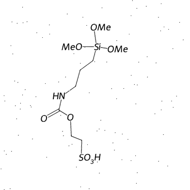 CO[Si](CCCNC(=O)OCCS(=O)(=O)O)(OC)OC